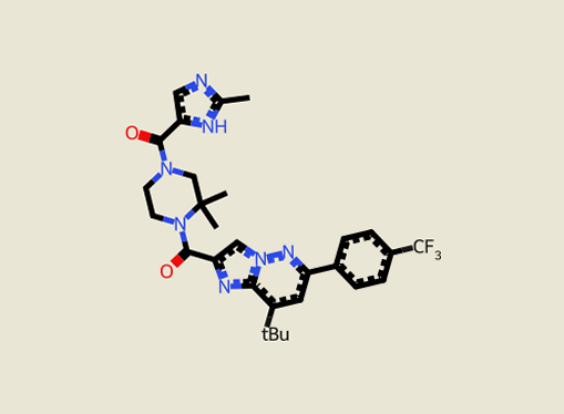 Cc1ncc(C(=O)N2CCN(C(=O)c3cn4nc(-c5ccc(C(F)(F)F)cc5)cc(C(C)(C)C)c4n3)C(C)(C)C2)[nH]1